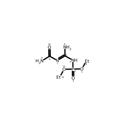 CCOP(=O)(NC(N)=NC(N)=O)OCC